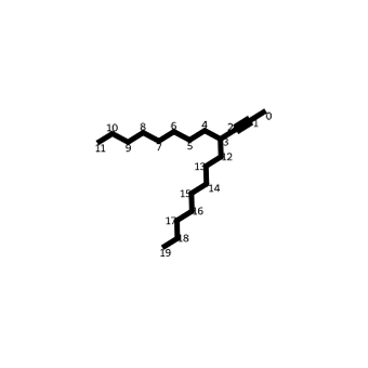 CC#CC(CCCCCCCC)CCCCCCCC